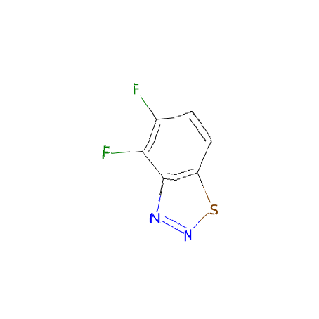 Fc1ccc2snnc2c1F